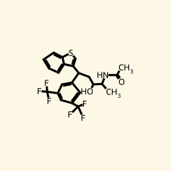 CC(=O)NC(C)C(O)CC(c1cc(C(F)(F)F)cc(C(F)(F)F)c1)c1csc2ccccc12